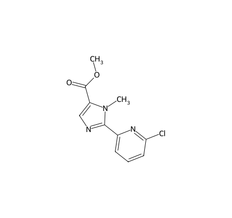 COC(=O)c1cnc(-c2cccc(Cl)n2)n1C